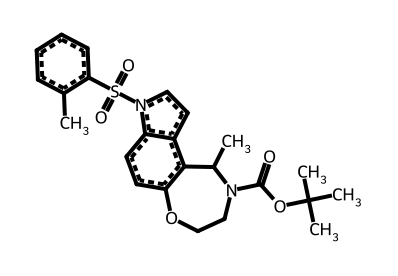 Cc1ccccc1S(=O)(=O)n1ccc2c3c(ccc21)OCCN(C(=O)OC(C)(C)C)C3C